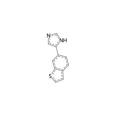 c1ncc(-c2ccc3ccsc3c2)[nH]1